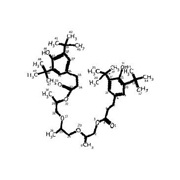 CC(COC(=O)CCc1cc(C(C)(C)C)c(O)c(C(C)(C)C)c1)OCC(C)OCC(C)OC(=O)CCc1cc(C(C)(C)C)c(O)c(C(C)(C)C)c1